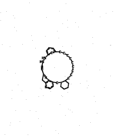 C1#CC2=Nc3c(ccnc3C2)CC2CCCCC2CCCCCCCCCc2cccc(c2)NN1